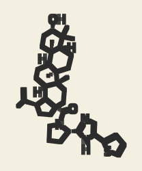 C=C(C)[C@@H]1CC[C@]2(C(=O)N3CCC[C@H]3c3ncc(-c4cccs4)[nH]3)CC[C@]3(C)[C@H](CC[C@@H]4[C@@]5(C)CC[C@H](O)C(C)(C)[C@@H]5CC[C@]43C)C12